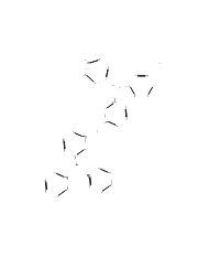 CSc1ccc2c3ccc([Si](C)(C)c4cccc(P(c5ccccc5)c5ccccc5)c4)cc3n(-c3ccccc3)c2c1